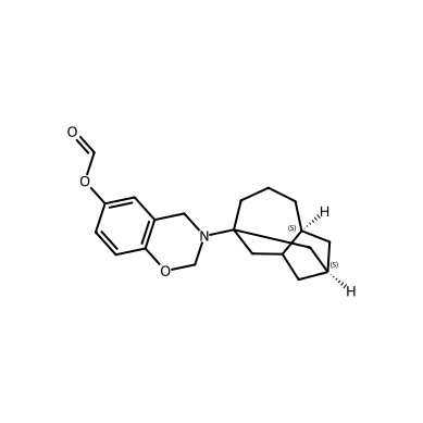 O=COc1ccc2c(c1)CN(C13CCC[C@H]4C[C@@H](CC4C1)C3)CO2